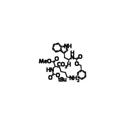 COC(=O)C(CCCCN)NC(=O)OC(C)(C)C.O=C(NC(Cc1c[nH]c2ccccc12)C(=O)O)OCc1ccccc1